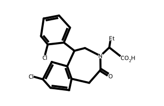 CCC(C(=O)O)N1CC(c2ccccc2Cl)c2cc(Cl)ccc2CC1=O